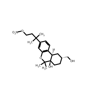 CC(C)(CCO[N+](=O)[O-])c1ccc2c(c1)OC(C)(C)[C@@]1(O)CC[C@@H](CO)C[C@H]21